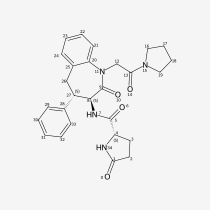 O=C1CC[C@@H](C(=O)N[C@@H]2C(=O)N(CC(=O)N3CCCC3)c3ccccc3C[C@H]2c2ccccc2)N1